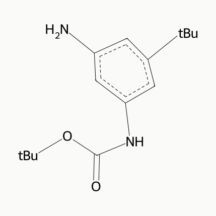 CC(C)(C)OC(=O)Nc1cc(N)cc(C(C)(C)C)c1